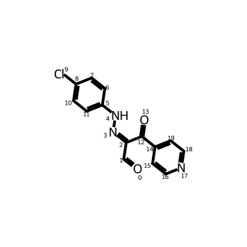 O=C/C(=N/Nc1ccc(Cl)cc1)C(=O)c1ccncc1